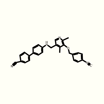 [C-]#[N+]c1ccc(COc2c(C)ncc(CNc3ccc(-c4ccc(C#N)cc4)cc3)c2C)cc1